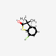 CC1(C)C(=O)Sc2c(F)cccc21